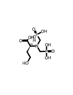 O=C(O)[C@H](CCO)N(CP(=O)(O)O)CP(=O)(O)O